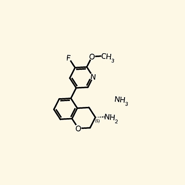 COc1ncc(-c2cccc3c2C[C@H](N)CO3)cc1F.N